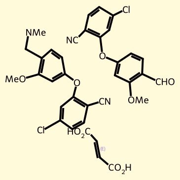 CNCc1ccc(Oc2cc(Cl)ccc2C#N)cc1OC.COc1cc(Oc2cc(Cl)ccc2C#N)ccc1C=O.O=C(O)/C=C/C(=O)O